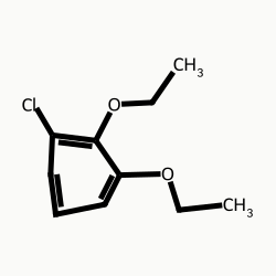 CCOc1cccc(Cl)c1OCC